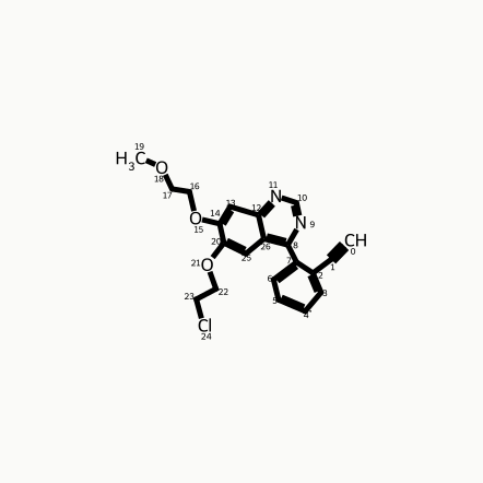 C#Cc1c[c]ccc1-c1ncnc2cc(OCCOC)c(OCCCl)cc12